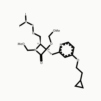 COCO[C@@]1(Cc2cc(OCCC3CC3)ccn2)C(=O)N(COC)[C@H]1COSP(I)I